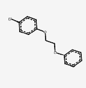 Clc1ccc(OCCOc2ccccc2)cc1